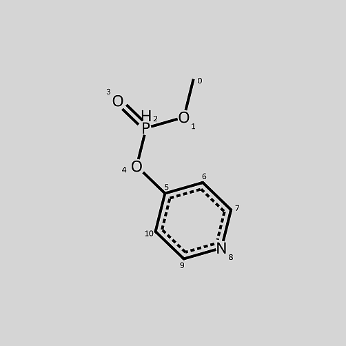 CO[PH](=O)Oc1ccncc1